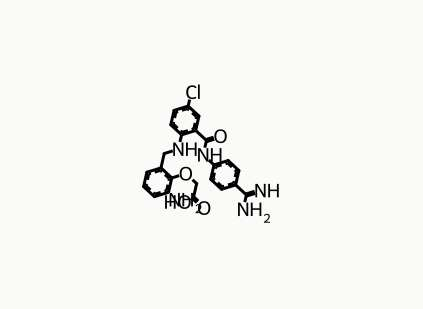 N=C(N)c1ccc(NC(=O)c2cc(Cl)ccc2NCc2cccc(N)c2OCC(=O)O)cc1